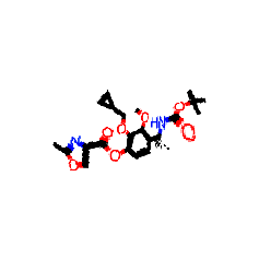 COc1c([C@@H](C)NC(=O)OC(C)(C)C)ccc(OC(=O)c2coc(C)n2)c1OCC1CC1